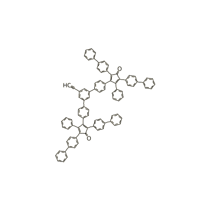 C#Cc1cc(-c2ccc(C3=C(c4ccc(-c5ccccc5)cc4)C(=O)C(c4ccc(-c5ccccc5)cc4)=C3c3ccccc3)cc2)cc(-c2ccc(C3=C(c4ccc(-c5ccccc5)cc4)C(=O)C(c4ccc(-c5ccccc5)cc4)=C3c3ccccc3)cc2)c1